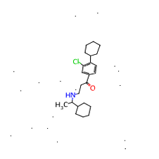 CC(NCCC(=O)c1ccc(C2CCCCC2)c(Cl)c1)C1CCCCC1